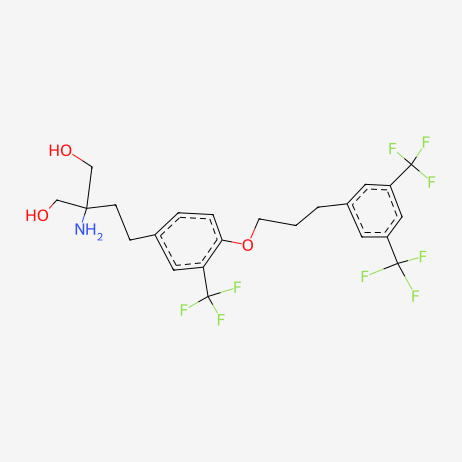 NC(CO)(CO)CCc1ccc(OCCCc2cc(C(F)(F)F)cc(C(F)(F)F)c2)c(C(F)(F)F)c1